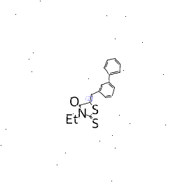 CCN1C(=O)/C(=C/c2cccc(-c3ccccc3)c2)SC1=S